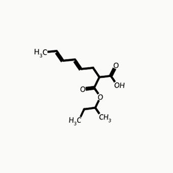 CC=CC=CCC(C(=O)O)C(=O)OC(C)CC